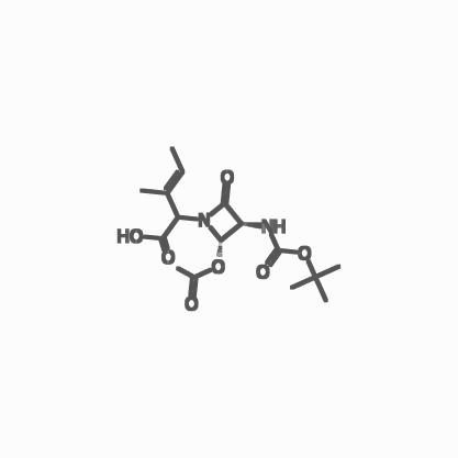 CC=C(C)C(C(=O)O)N1C(=O)[C@@H](NC(=O)OC(C)(C)C)[C@@H]1OC(C)=O